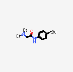 CCN(CC)CC(=O)Nc1ccc(C(C)(C)C)cc1